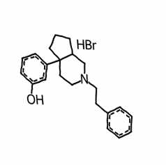 Br.Oc1cccc(C23CCCC2CN(CCc2ccccc2)CC3)c1